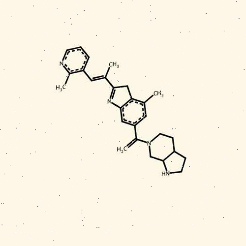 C=C(c1cc(C)c2c(c1)N=C(/C(C)=C/c1cccnc1C)C2)N1CCC2CCNC2C1